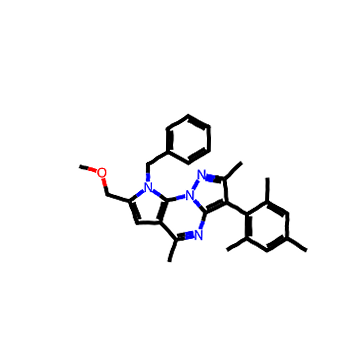 COCc1cc2c(C)nc3c(-c4c(C)cc(C)cc4C)c(C)nn3c2n1Cc1ccccc1